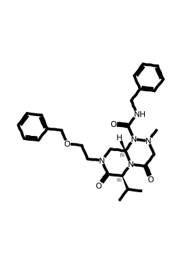 CC(C)[C@H]1C(=O)N(CCOCc2ccccc2)C[C@H]2N1C(=O)CN(C)N2C(=O)NCc1ccccc1